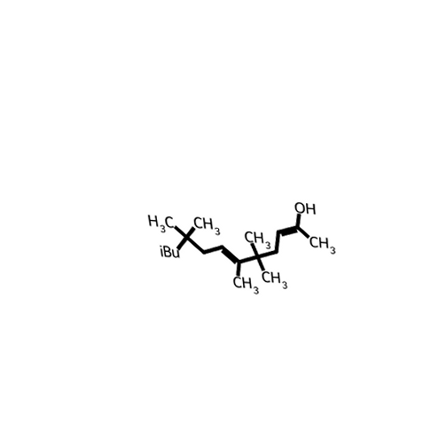 CCC(C)C(C)(C)C/C=C(\C)C(C)(C)C/C=C(\C)O